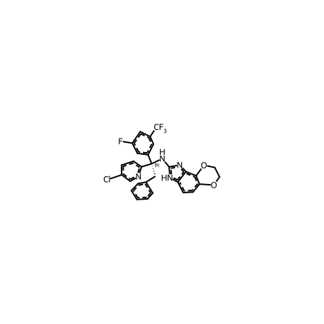 Fc1cc(C(F)(F)F)cc([C@@](Cc2ccccc2)(Nc2nc3c4c(ccc3[nH]2)OCCO4)c2ccc(Cl)cn2)c1